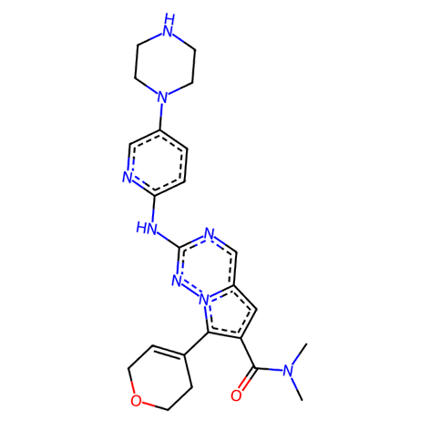 CN(C)C(=O)c1cc2cnc(Nc3ccc(N4CCNCC4)cn3)nn2c1C1=CCOCC1